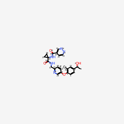 CC(O)c1ccc(Oc2ccc(CNC(=O)C3(NC(=O)c4ccnnc4)CC3)nc2)c(C(F)(F)F)c1